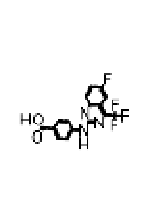 O=C(O)c1ccc(Nc2nc(C(F)(F)F)c3cc(F)ccc3n2)cc1